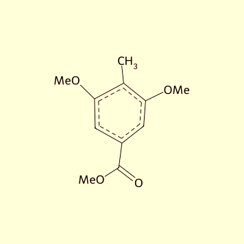 COC(=O)c1cc(OC)c(C)c(OC)c1